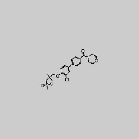 CC(C)(COc1ccc(-c2ccc(C(=O)N3CCOCC3)cc2)cc1Cl)CS(C)(=O)=O